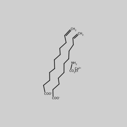 C=CCCCCCCCCC(=O)[O-].C=CCCCCCCCCC(=O)[O-].CCOC(N)=O.[Ca+2]